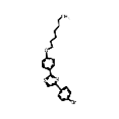 CCCCCCCOc1ccc(-c2nc(-c3ccc(Br)cc3)cs2)cc1